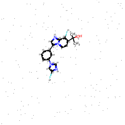 CC(C)(O)c1ccn2c(-c3cccc(-n4cnc(F)c4)c3)cnc2c1F